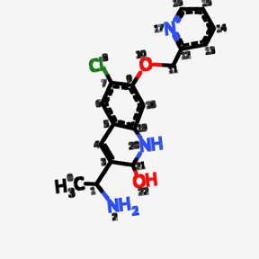 CC(N)C1=Cc2cc(Cl)c(OCc3ccccn3)cc2NC1O